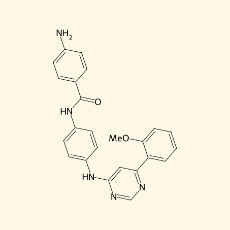 COc1ccccc1-c1cc(Nc2ccc(NC(=O)c3ccc(N)cc3)cc2)ncn1